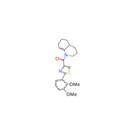 COc1cccc(-c2nc(C(=O)N3CCCC4CCCC=C43)cs2)c1OC